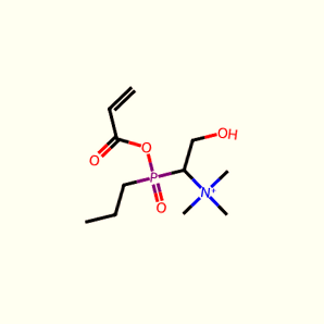 C=CC(=O)OP(=O)(CCC)C(CO)[N+](C)(C)C